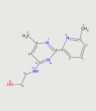 Cc1cccc(-c2nc(C)cc(NCCO)n2)n1